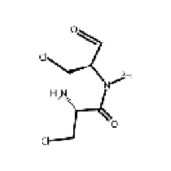 [2H]N(C(=O)[C@@H](N)CCl)[C@H]([C]=O)CCl